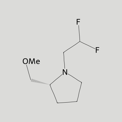 COC[C@H]1CCCN1CC(F)F